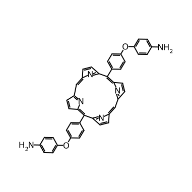 Nc1ccc(Oc2ccc(C3=C4C=CC(=N4)C=C4C=CC(=N4)C(c4ccc(Oc5ccc(N)cc5)cc4)=C4C=CC(=N4)C=C4C=CC3=N4)cc2)cc1